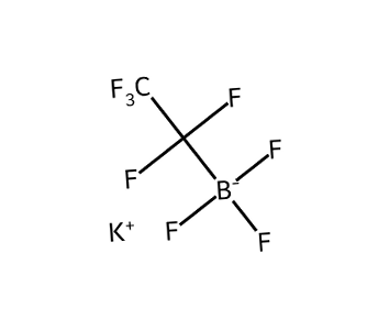 F[B-](F)(F)C(F)(F)C(F)(F)F.[K+]